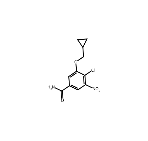 NC(=O)c1cc(OCC2CC2)c(Cl)c([N+](=O)[O-])c1